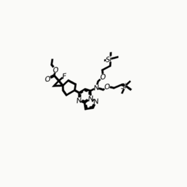 CCOC(=O)C1(F)CC12CCC(c1cc(N(COCC[Si](C)(C)C)COCC[Si](C)(C)C)n3nccc3n1)CC2